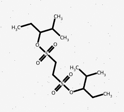 CCC(OS(=O)(=O)CCS(=O)(=O)OC(CC)C(C)C)C(C)C